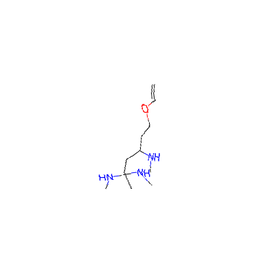 C=COCCC(CC(C)(NC)NC)NC